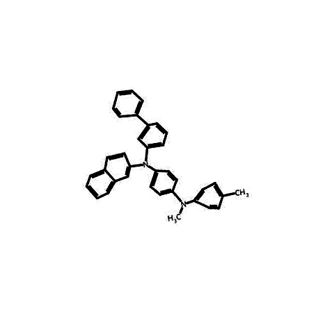 Cc1ccc(N(C)c2ccc(N(c3cccc(-c4ccccc4)c3)c3ccc4ccccc4c3)cc2)cc1